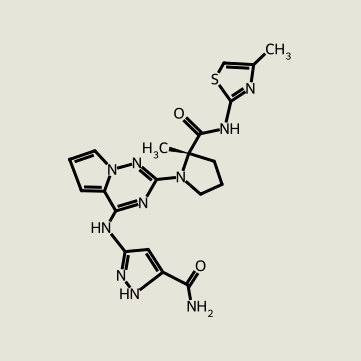 Cc1csc(NC(=O)[C@]2(C)CCCN2c2nc(Nc3cc(C(N)=O)[nH]n3)c3cccn3n2)n1